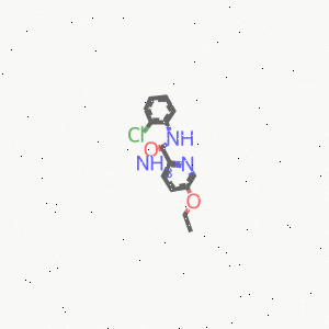 CCOc1ccc(C(=O)Nc2ccccc2Cl)nc1.N